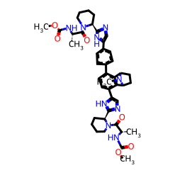 COC(=O)N[C@@H](C)C(=O)N1CCCC[C@H]1c1ncc(-c2ccc(-c3ccc(-c4cnc([C@@H]5CCCCN5C(=O)[C@H](C)NC(=O)OC)[nH]4)c4c3C3CCC4N3C)cc2)[nH]1